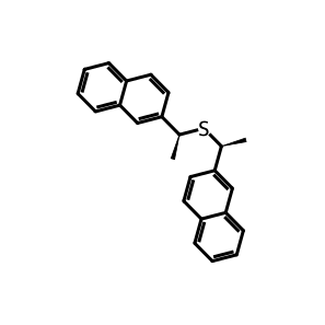 C[C@H](S[C@@H](C)c1ccc2ccccc2c1)c1ccc2ccccc2c1